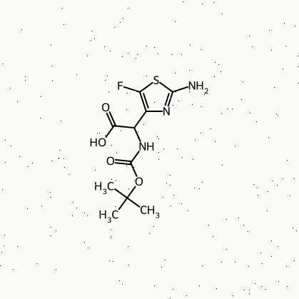 CC(C)(C)OC(=O)NC(C(=O)O)c1nc(N)sc1F